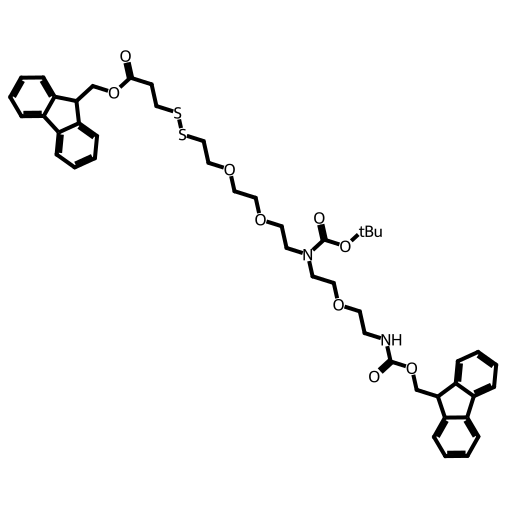 CC(C)(C)OC(=O)N(CCOCCNC(=O)OCC1c2ccccc2-c2ccccc21)CCOCCOCCSSCCC(=O)OCC1c2ccccc2-c2ccccc21